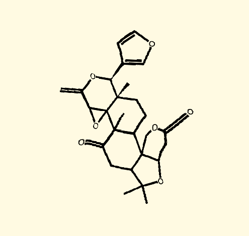 C=C1O[C@@H](c2ccoc2)[C@]2(C)CCC3C45COC(=O)CC4OC(C)(C)C5CC(=O)C3(C)C23OC13